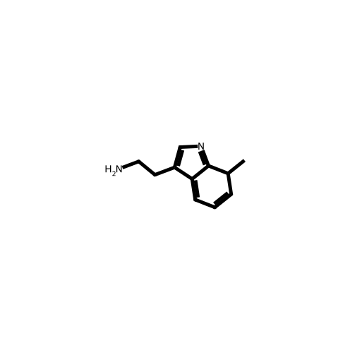 CC1C=CC=C2C(CCN)=CN=C21